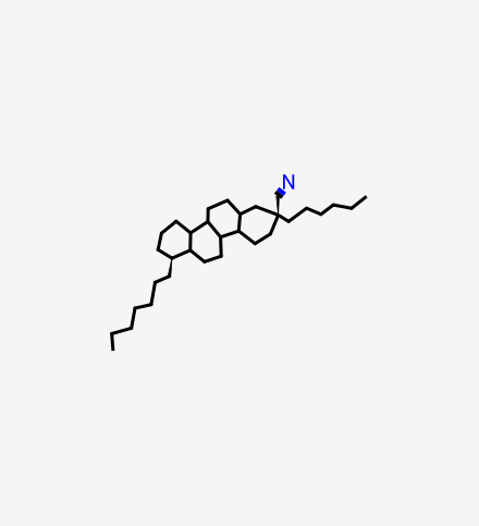 CCCCCCC[C@H]1CCCC2C3CCC4C[C@](C#N)(CCCCCC)CCC4C3CCC21